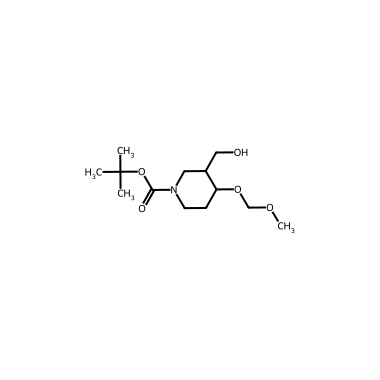 COCOC1CCN(C(=O)OC(C)(C)C)CC1CO